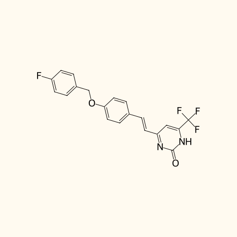 O=c1nc(C=Cc2ccc(OCc3ccc(F)cc3)cc2)cc(C(F)(F)F)[nH]1